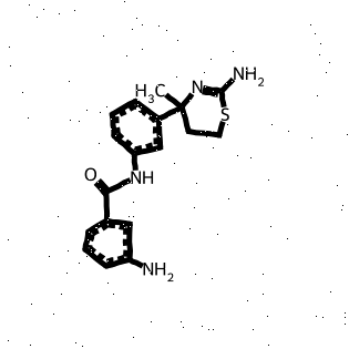 CC1(c2cccc(NC(=O)c3cccc(N)c3)c2)CCSC(N)=N1